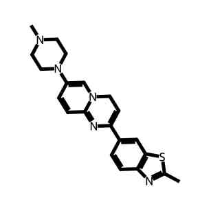 Cc1nc2ccc(C3=CCN4C=C(N5CCN(C)CC5)C=CC4=N3)cc2s1